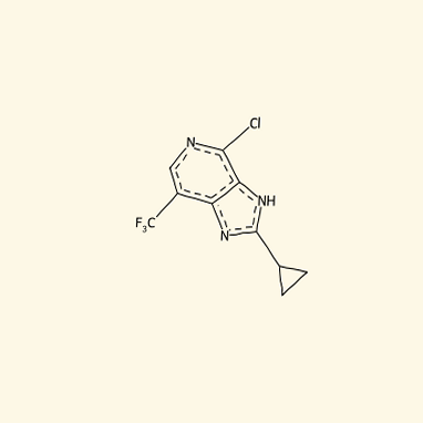 FC(F)(F)c1cnc(Cl)c2[nH]c(C3CC3)nc12